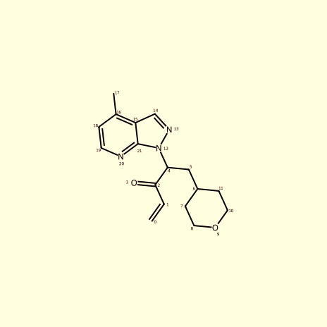 C=CC(=O)C(CC1CCOCC1)n1ncc2c(C)ccnc21